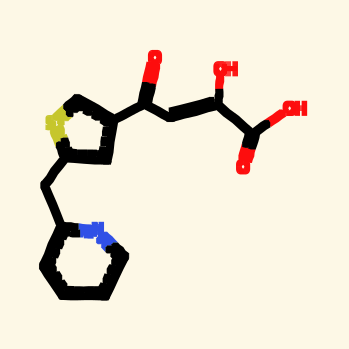 O=C(O)C(O)=CC(=O)c1csc(Cc2ccccn2)c1